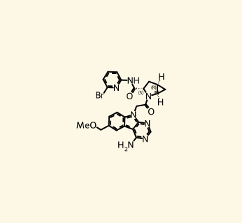 COCc1ccc2c(c1)c1c(N)ncnc1n2CC(=O)N1[C@@H]2C[C@@H]2C[C@H]1C(=O)Nc1cccc(Br)n1